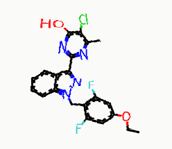 CCOc1cc(F)c(Cn2nc(-c3nc(C)c(Cl)c(O)n3)c3ccccc32)c(F)c1